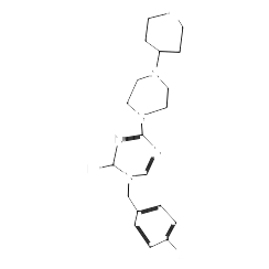 OC1N=C(N2CCN(C3CCOCC3)CC2)N=CN1Cc1ccc(Cl)cc1